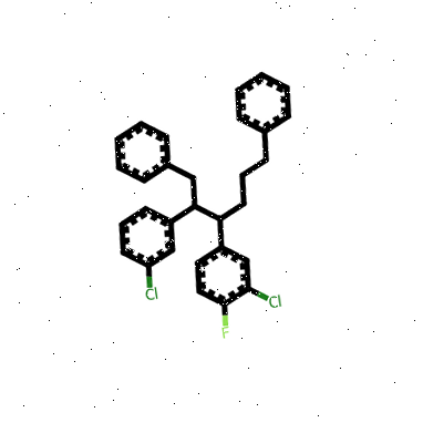 Fc1ccc([C](CCCc2ccccc2)C(Cc2ccccc2)c2cccc(Cl)c2)cc1Cl